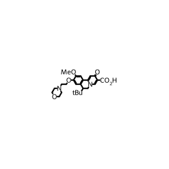 COc1cc2c(cc1OCCN1CCOCC1)C(C(C)(C)C)Cn1cc(C(=O)O)c(=O)cc1-2